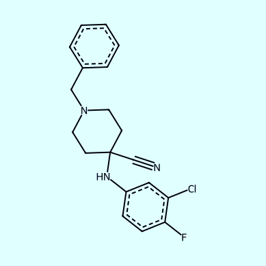 N#CC1(Nc2ccc(F)c(Cl)c2)CCN(Cc2ccccc2)CC1